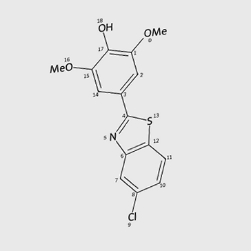 COc1cc(-c2nc3cc(Cl)ccc3s2)cc(OC)c1O